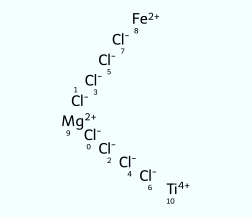 [Cl-].[Cl-].[Cl-].[Cl-].[Cl-].[Cl-].[Cl-].[Cl-].[Fe+2].[Mg+2].[Ti+4]